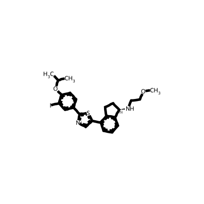 COCCN[C@H]1CCc2c(-c3cnc(-c4ccc(OC(C)C)c(I)c4)s3)cccc21